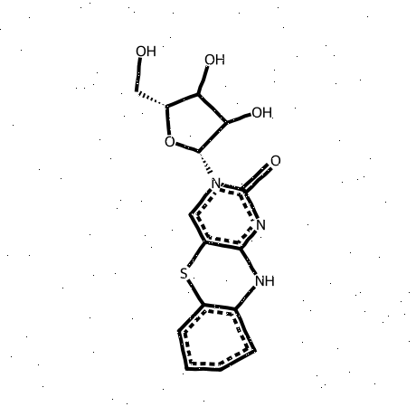 O=c1nc2c(cn1[C@@H]1O[C@H](CO)C(O)C1O)Sc1ccccc1N2